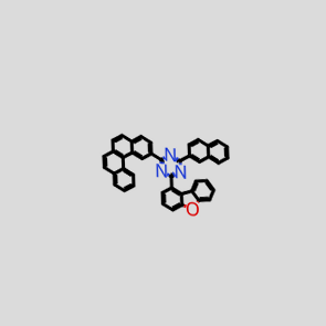 c1ccc2cc(-c3nc(-c4ccc5ccc6ccc7ccccc7c6c5c4)nc(-c4cccc5oc6ccccc6c45)n3)ccc2c1